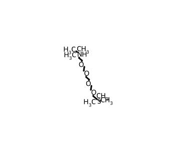 CSC(C)(C)COCCOCCOCCOCCNC(C)(C)C